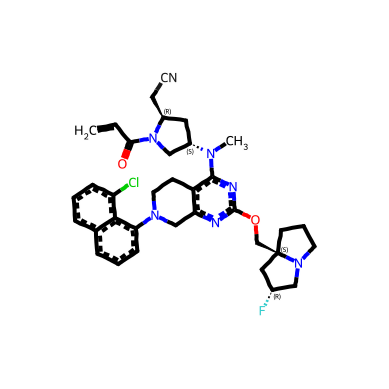 C=CC(=O)N1C[C@@H](N(C)c2nc(OC[C@@]34CCCN3C[C@H](F)C4)nc3c2CCN(c2cccc4cccc(Cl)c24)C3)C[C@@H]1CC#N